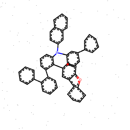 c1ccc(-c2cccc(N(c3ccc4ccccc4c3)c3cccc(-c4ccccc4-c4ccccc4)c3-c3ccc4oc5ccccc5c4c3)c2)cc1